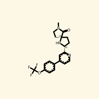 CN1CC[C@@]2(CC[C@H](c3cc(-c4ccc(OC(F)(F)F)cc4)ccn3)N2)C1=O